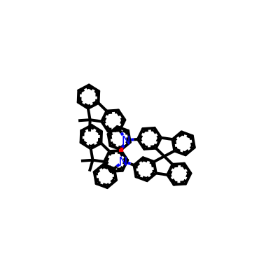 CC1(C)c2ccccc2-c2ccc(N(c3ccc4c(c3)C3(c5ccccc5-c5ccc(N(c6ccccc6)c6ccccc6)cc53)c3ccccc3-4)c3cccc4c3-c3ccccc3C4(C)C)cc21